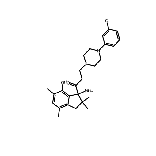 Cc1cc(C)c2c(c1O)C(N)(C(=O)CCN1CCN(c3cccc(Cl)c3)CC1)C(C)(C)C2